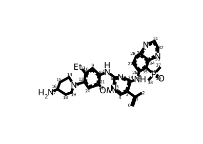 C=C(C)c1cnc(Nc2cc(CC)c(N3CCC(N)CC3)cc2OC)nc1Nc1ccc2nccnc2c1P(C)(C)=O